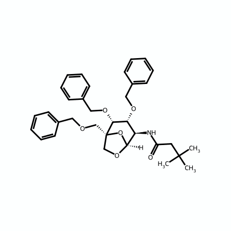 CC(C)(C)CC(=O)N[C@H]1[C@H]2OC[C@](COCc3ccccc3)(O2)[C@H](OCc2ccccc2)[C@@H]1OCc1ccccc1